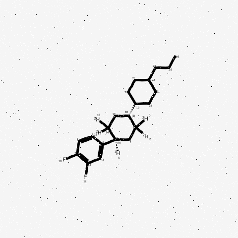 [2H]C1([2H])C[C@@]([2H])(c2ccc(F)c(F)c2)C([2H])([2H])C[C@@H]1C1CCC(CCC)CC1